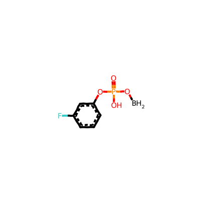 BOP(=O)(O)Oc1cccc(F)c1